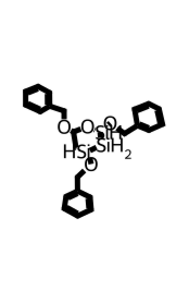 c1ccc(COC2C[SiH](OCc3ccccc3)[SiH2][SiH](OCc3ccccc3)O2)cc1